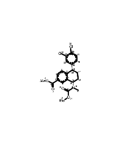 COC(=O)c1ccc2c(c1)[C@@H](N(C)C(=O)OC(C)(C)C)CC[C@H]2c1ccc(Cl)c(Cl)c1